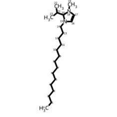 CCCCCCCCCCCCCCCN1C=CN(C)C1C(C)C